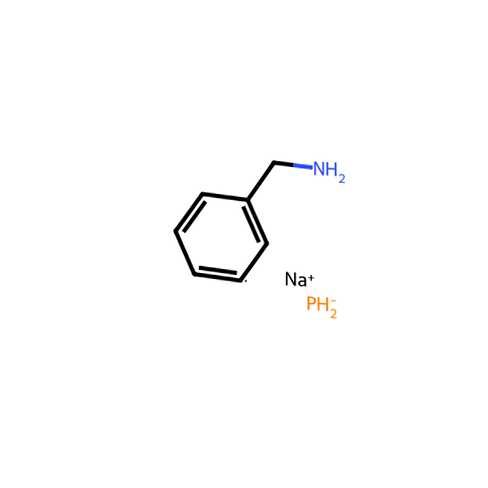 NCc1c[c]ccc1.[Na+].[PH2-]